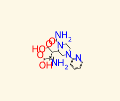 NC(=O)N1CCN(c2ccccn2)CC1C(C(=O)O)[C@H](N)C(=O)O